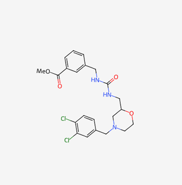 COC(=O)c1cccc(CNC(=O)NCC2CN(Cc3ccc(Cl)c(Cl)c3)CCO2)c1